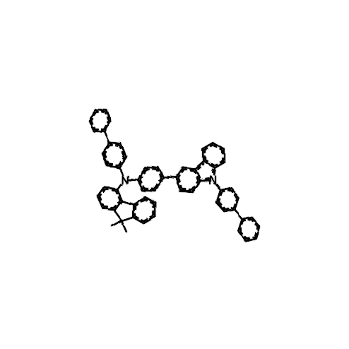 CC1(C)c2ccccc2-c2c(N(c3ccc(-c4ccccc4)cc3)c3ccc(-c4ccc5c(c4)c4ccccc4n5-c4ccc(-c5ccccc5)cc4)cc3)cccc21